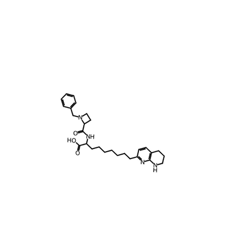 O=C(O)C(CCCCCCCc1ccc2c(n1)NCCC2)NC(=O)C1CCN1Cc1ccccc1